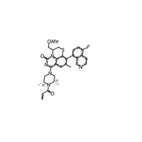 C=CC(=O)N1[C@H](C)CN(c2nc(=O)n3c4c(c(-c5ccc(F)c6ccncc56)c(C)cc24)SCC3COC)C[C@@H]1C